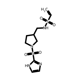 C=CS(=O)(=O)NCC1CCN(S(=O)(=O)c2ncc[nH]2)C1